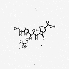 O=CNc1nc(C(=NOCC(=O)O)C(=O)NC2C(=O)N3C=C(C(=O)O)CS[C@H]23)cs1